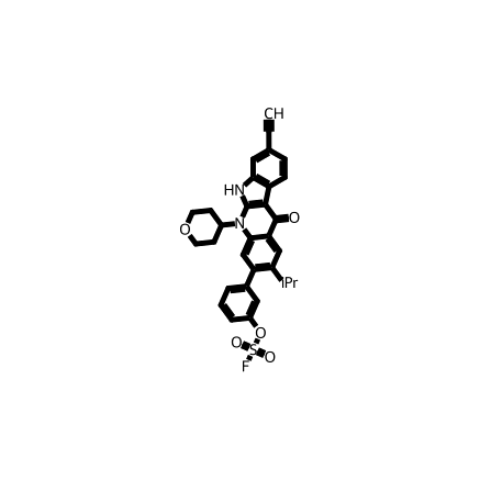 C#Cc1ccc2c(c1)[nH]c1c2c(=O)c2cc(C(C)C)c(-c3cccc(OS(=O)(=O)F)c3)cc2n1C1CCOCC1